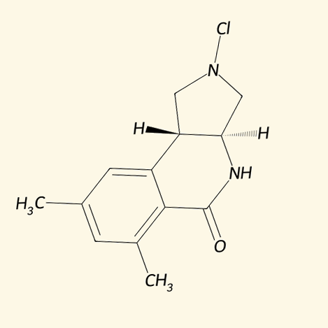 Cc1cc(C)c2c(c1)[C@@H]1CN(Cl)C[C@H]1NC2=O